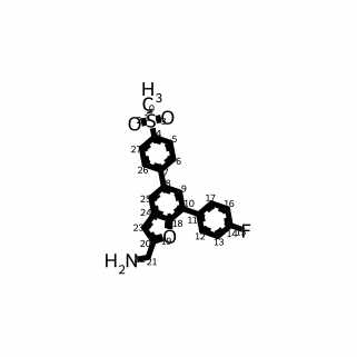 CS(=O)(=O)c1ccc(-c2cc(-c3ccc(F)cc3)c3oc(CN)cc3c2)cc1